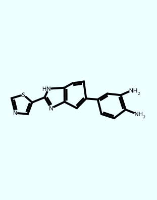 Nc1ccc(-c2ccc3[nH]c(-c4cncs4)nc3c2)cc1N